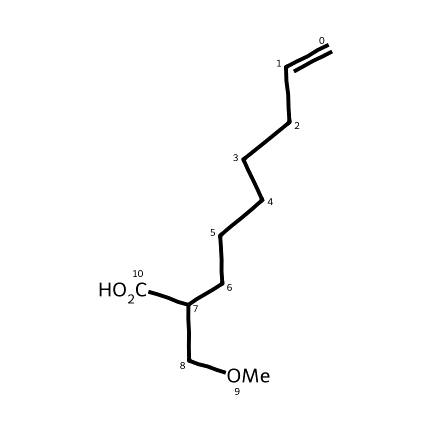 C=CCCCCCC(COC)C(=O)O